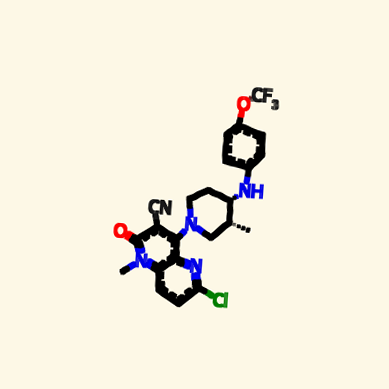 C[C@@H]1CN(c2c(C#N)c(=O)n(C)c3ccc(Cl)nc23)CC[C@@H]1Nc1ccc(OC(F)(F)F)cc1